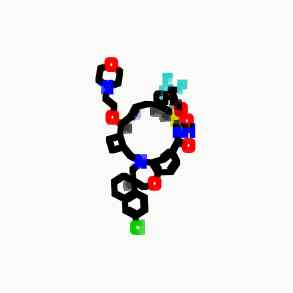 C[C@H]1C/C=C/[C@H](OCCN2CCOCC2)C2CCC2CN2C[C@@]3(CCCc4cc(Cl)ccc43)COc3ccc(cc32)C(=O)NS(=O)(=O)[C@H]1CC(F)(F)F